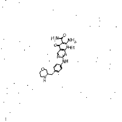 CCn1c(N)c(C(N)=O)c(=O)c2cnc(Nc3ccc(CC4COCCN4)cc3)nc21